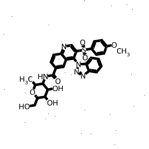 COc1ccc(S(=O)(=O)c2cnc3ccc(C(=O)NC4C(C)OC(CO)C(O)C4O)cc3c2-n2nnc3ccccc32)cc1